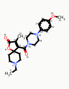 CCN1CCC2(CC1)OC(=O)C(C)=C2C(=O)N1CCN(c2ccc(OC)cc2)CC1